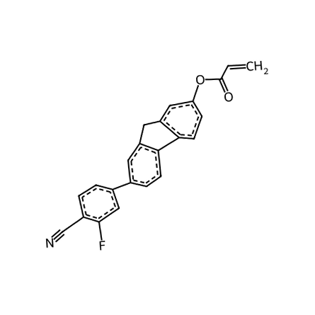 C=CC(=O)Oc1ccc2c(c1)Cc1cc(-c3ccc(C#N)c(F)c3)ccc1-2